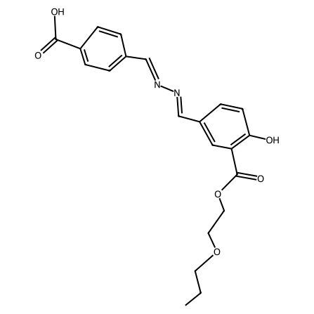 CCCOCCOC(=O)c1cc(/C=N/N=C/c2ccc(C(=O)O)cc2)ccc1O